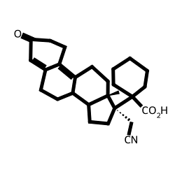 C[C@]12CCC3=C4CCC(=O)C=C4CCC3C1CC[C@]2(CC#N)C1(C(=O)O)CCCCC1